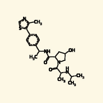 Cc1ncsc1-c1ccc(C(C)NC(=O)C2CC(O)CN2C(=O)C(C)NC(C)C)cc1